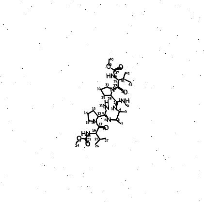 CN/C(=N\C(C)C(C)/N=C(\NC)C1CCCN1C(=O)C(NC(=O)OC)C(C)C)C1CCCN1C(=O)C(NC(=O)OC)C(C)C